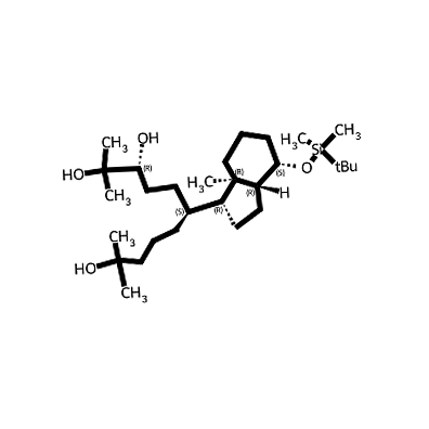 CC(C)(O)CCC[C@@H](CC[C@@H](O)C(C)(C)O)[C@H]1CC[C@H]2[C@@H](O[Si](C)(C)C(C)(C)C)CCC[C@]12C